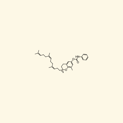 CC(C)=CCCC(C)=CCCC(C)=CCC[C@]1(C)CCc2cc(OC(=O)Nc3ccccc3)cc(C)c2O1